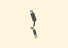 N#[C][Ni]=[O]